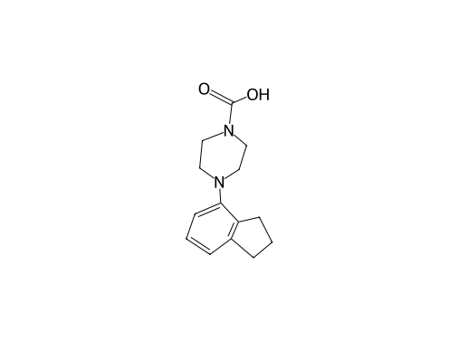 O=C(O)N1CCN(c2cccc3c2CCC3)CC1